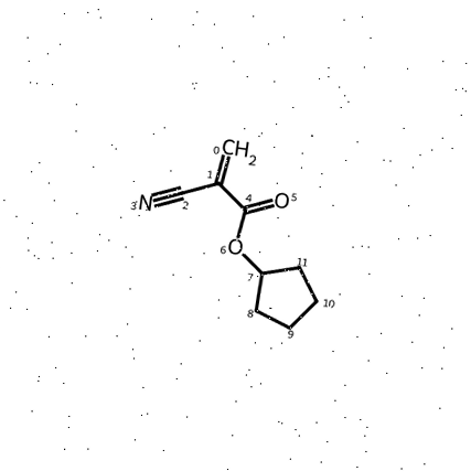 C=C(C#N)C(=O)OC1CCCC1